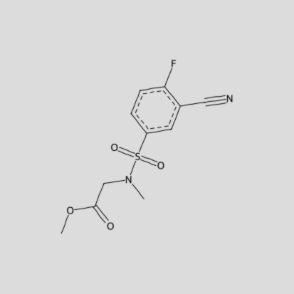 COC(=O)CN(C)S(=O)(=O)c1ccc(F)c(C#N)c1